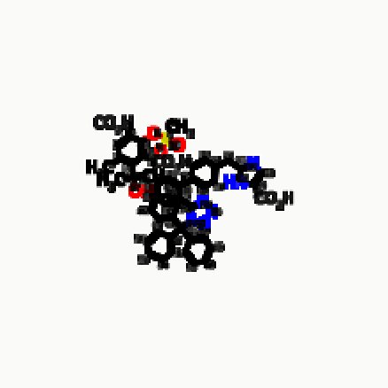 Cc1cc(C(=O)O)c(OS(C)(=O)=O)c(C(=O)O)c1C(C)(C)O.O=C(O)c1cnc(Cc2ccc(-c3ccccc3-c3nnnn3C(c3ccccc3)(c3ccccc3)c3ccccc3)cc2)[nH]1